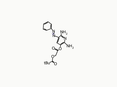 CC(C)(C)C(=O)OCC(=O)Oc1cc(/N=N/c2ccccc2)c(N)nc1N